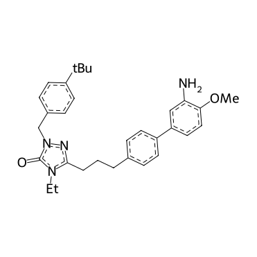 CCn1c(CCCc2ccc(-c3ccc(OC)c(N)c3)cc2)nn(Cc2ccc(C(C)(C)C)cc2)c1=O